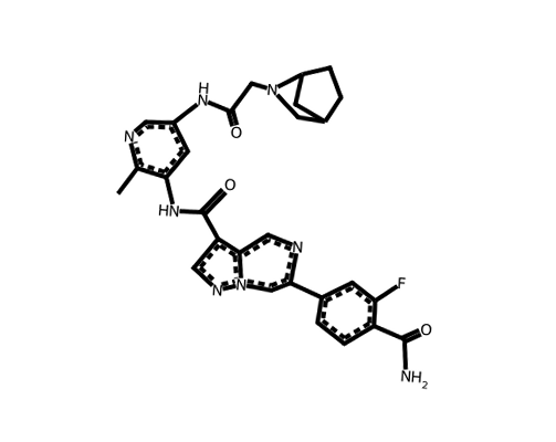 Cc1ncc(NC(=O)CN2CC3CCC2C3)cc1NC(=O)c1cnn2cc(-c3ccc(C(N)=O)c(F)c3)ncc12